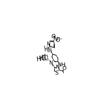 CC(=O)C1SCC(C#N)N1NC1CCC(Nc2ccc([N+](=O)[O-])cn2)CC1.Cl.Cl